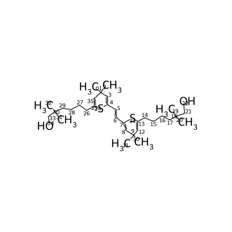 CC1(C)C=C(/C=C/C2=CC(C)(C)C=C(CCCCC(C)(C)CO)S2)SC(CCCCC(C)(C)CO)=C1